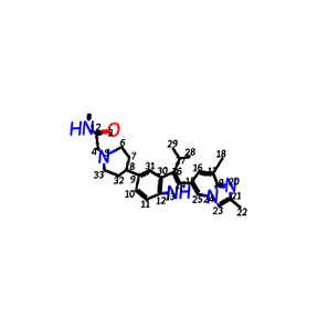 CNC(=O)CN1CCC(c2ccc3[nH]c(-c4cc(C)c5nc(C)cn5c4)c(C(C)C)c3c2)CC1